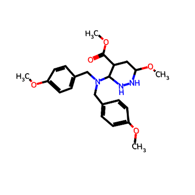 COC(=O)C1CC(OC)NNC1N(Cc1ccc(OC)cc1)Cc1ccc(OC)cc1